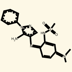 C[N+](C)=C1C=C/C(=N/c2cnn(-c3ccccc3)c2N)C(NS(C)(=O)=O)=C1